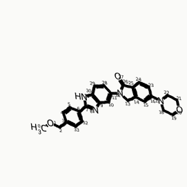 COCc1ccc(-c2nc3cc(N4Cc5cc(N6CCOCC6)ccc5C4=O)ccc3[nH]2)cc1